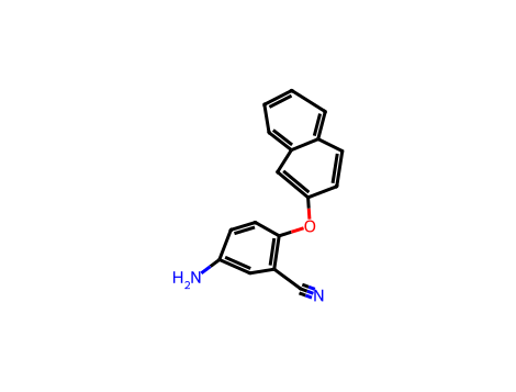 N#Cc1cc(N)ccc1Oc1ccc2ccccc2c1